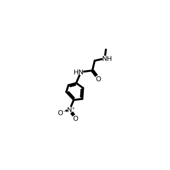 CNCC(=O)Nc1ccc([N+](=O)[O-])cc1